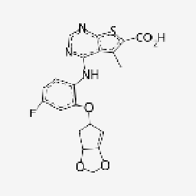 Cc1c(C(=O)O)sc2ncnc(Nc3ccc(F)cc3OC3C=C4OCOC4C3)c12